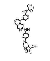 CC(=O)Nc1cccc(-c2cccc3cnc(Nc4ccc(N5CCN(C)C(CO)C5)cc4)nc23)c1